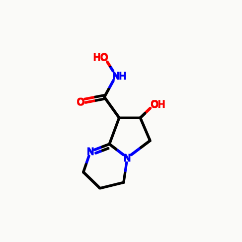 O=C(NO)C1C2=NCCCN2CC1O